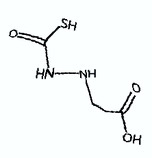 O=C(O)CNNC(=O)S